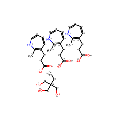 CC1=C(CCC(=O)O)C=CC=CN1.CC1=C(CCC(=O)O)C=CC=CN1.CC1=C(CCC(=O)O)C=CC=CN1.CCC(CO)(CO)CO